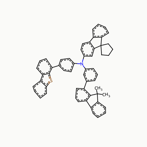 CC1(C)c2ccccc2-c2cccc(-c3cccc(N(c4ccc(-c5cccc6c5sc5ccccc56)cc4)c4ccc5c(c4)C4(CCCC4)c4ccccc4-5)c3)c21